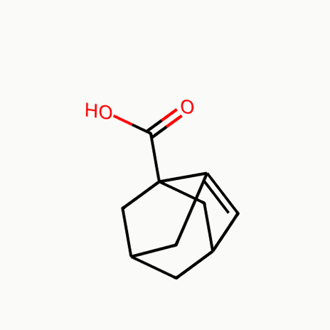 O=C(O)C12CC3C=C1CC(C3)C2